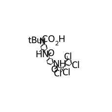 Cc1cc(N(C(=O)O)C(C)(C)C)ccc1NC(=O)c1cccc(NC(=O)C2C(c3cc(Cl)cc(Cl)c3)C2(Cl)Cl)c1